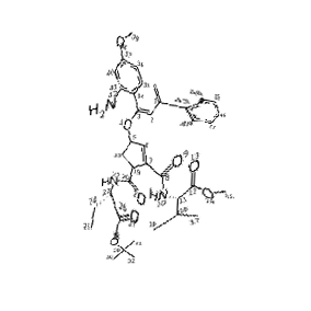 C=C(/C=C(/OC1C=C(C(=O)N[C@H](C(=O)OC)C(C)C)C(C(=O)N[C@@H](CC)C(=O)OC(C)(C)C)C1)c1ccc(OC)cc1N)c1ccccc1